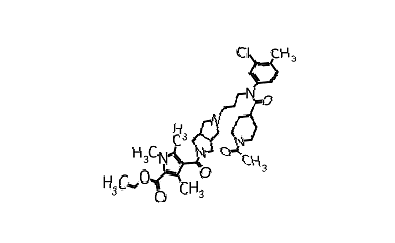 CCOC(=O)c1c(C)c(C(=O)N2CC3CN(CCCN(C(=O)C4CCN(C(C)=O)CC4)c4ccc(C)c(Cl)c4)CC3C2)c(C)n1C